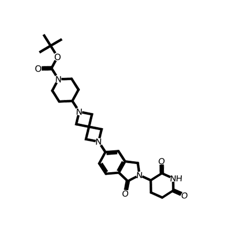 CC(C)(C)OC(=O)N1CCC(N2CC3(CN(c4ccc5c(c4)CN(C4CCC(=O)NC4=O)C5=O)C3)C2)CC1